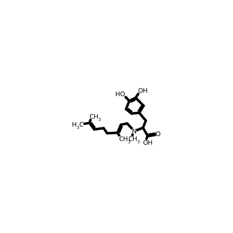 CC(C)=CCC/C(C)=C/CN(C)C(Cc1ccc(O)c(O)c1)C(=O)O